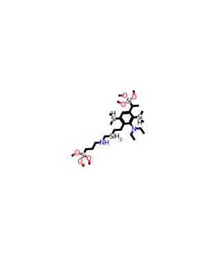 CCN(CC)c1c(CC[SiH2]CNCCC[Si](OC)(OC)OC)c([SiH](C)C)cc(C(C)[Si](OC)(OC)OC)c1[SiH](C)C